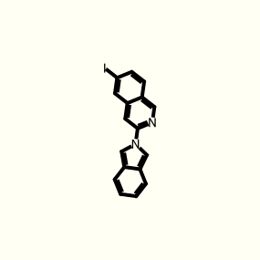 Ic1ccc2cnc(-n3cc4ccccc4c3)cc2c1